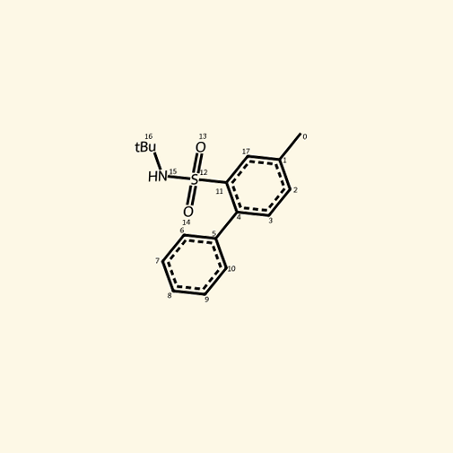 Cc1ccc(-c2ccccc2)c(S(=O)(=O)NC(C)(C)C)c1